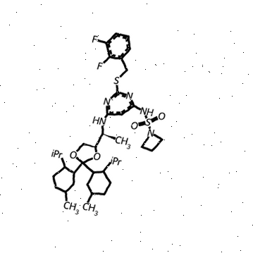 CC1CCC(C(C)C)C(C2(C3CC(C)CCC3C(C)C)OC[C@@H]([C@H](C)Nc3cc(NS(=O)(=O)N4CCC4)nc(SCc4cccc(F)c4F)n3)O2)C1